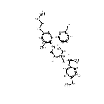 C[C@@H]1CN(c2ccc(OCCO)cc2Cl)[C@H](c2ccc(F)cc2)CN1C[C@@](C)(O)c1ccc(CO)nc1